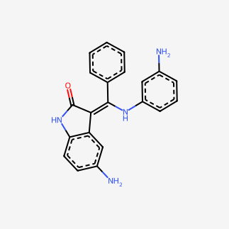 Nc1cccc(NC(=C2C(=O)Nc3ccc(N)cc32)c2ccccc2)c1